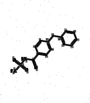 O=C(NS(=O)(=O)C(F)(F)F)c1ccc(Cc2ccccc2)cc1